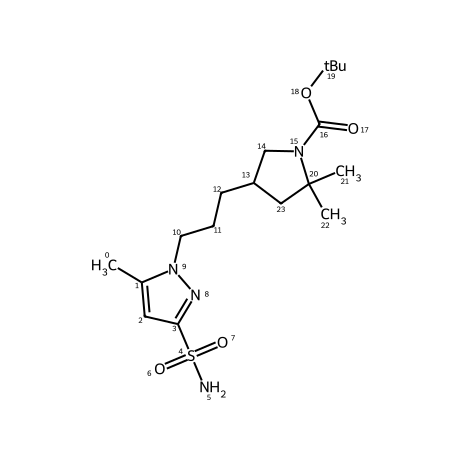 Cc1cc(S(N)(=O)=O)nn1CCCC1CN(C(=O)OC(C)(C)C)C(C)(C)C1